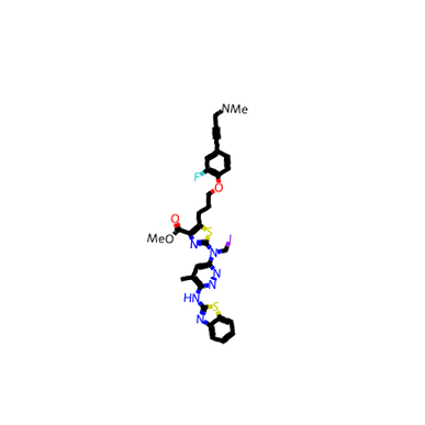 CNCC#Cc1ccc(OCCCc2sc(N(CI)c3cc(C)c(Nc4nc5ccccc5s4)nn3)nc2C(=O)OC)c(F)c1